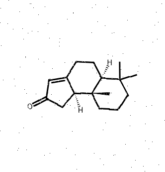 CC1(C)CCC[C@]2(C)[C@H]3CC(=O)C=C3CC[C@@H]12